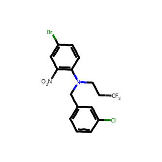 O=[N+]([O-])c1cc(Br)ccc1N(CCC(F)(F)F)Cc1cccc(Cl)c1